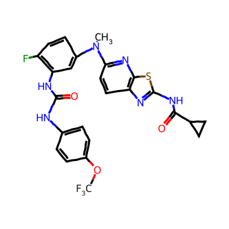 CN(c1ccc(F)c(NC(=O)Nc2ccc(OC(F)(F)F)cc2)c1)c1ccc2nc(NC(=O)C3CC3)sc2n1